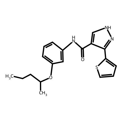 CCCC(C)Oc1cccc(NC(=O)c2c[nH]nc2-c2cccs2)c1